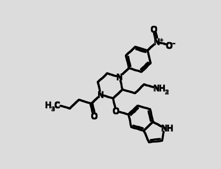 CCCC(=O)N1CCN(c2ccc([N+](=O)[O-])cc2)C(CCN)C1Oc1ccc2[nH]ccc2c1